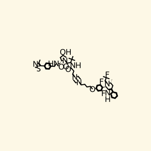 Cc1ncsc1-c1ccc(CNC(=O)[C@@H]2C[C@@H](O)CN2C(=O)[C@@H](NC(=O)CCN2CCN(CCCCOc3cc(F)c([C@@H]4c5[nH]c6ccccc6c5C[C@@H](C)N4CC(C)(C)F)c(F)c3)CC2)C(C)(C)C)cc1